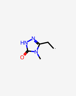 [CH2]Cc1n[nH]c(=O)n1C